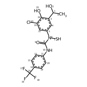 CC(O)c1cc(N(S)C(=O)Nc2ccc(C(F)(F)F)cc2)cc(Cl)c1O